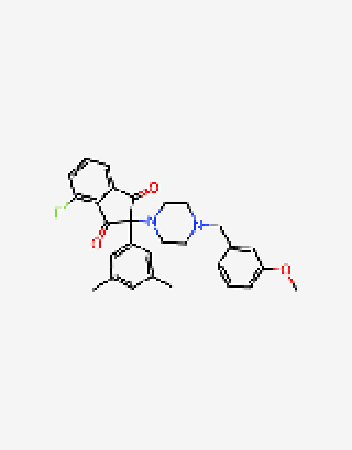 COc1cccc(CN2CCN(C3(c4cc(C)cc(C)c4)C(=O)c4cccc(F)c4C3=O)CC2)c1